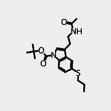 CCCSc1ccc2c(c1)c(CCNC(C)=O)cn2C(=O)OC(C)(C)C